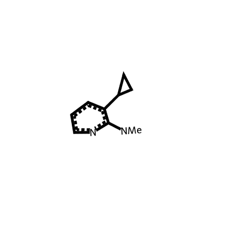 CNc1ncccc1C1CC1